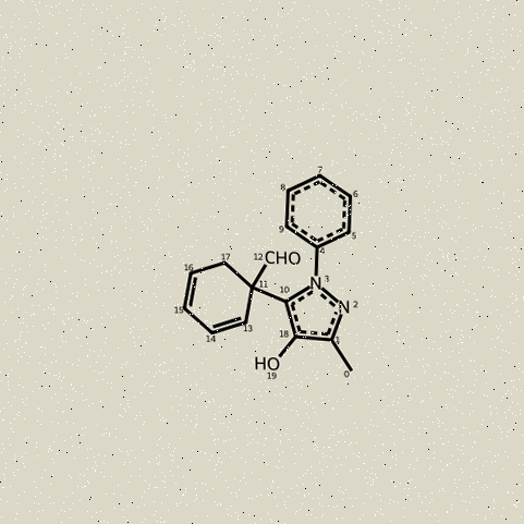 Cc1nn(-c2ccccc2)c(C2(C=O)C=CC=CC2)c1O